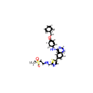 CS(=O)(=O)CCNCc1ncc(-c2ccc3ncnc(Nc4ccc(OCc5ccccc5)cc4)c3c2)s1